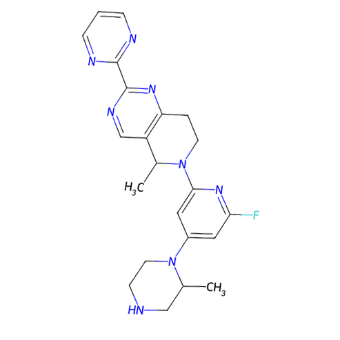 CC1CNCCN1c1cc(F)nc(N2CCc3nc(-c4ncccn4)ncc3C2C)c1